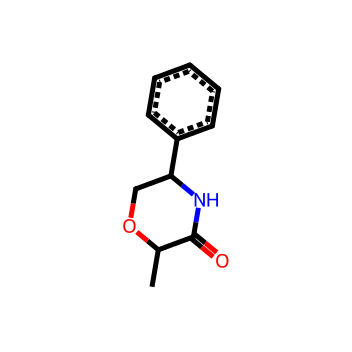 CC1OCC(c2ccccc2)NC1=O